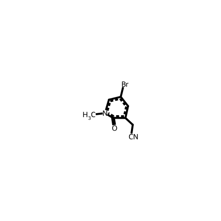 Cn1cc(Br)cc(CC#N)c1=O